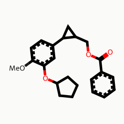 COc1ccc(C2CC2COC(=O)c2ccccc2)cc1OC1CCCC1